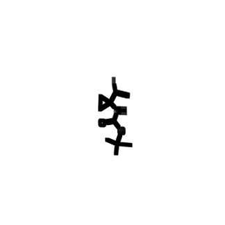 C=C(I)C1(NC(=O)OC(C)(C)C)CC1